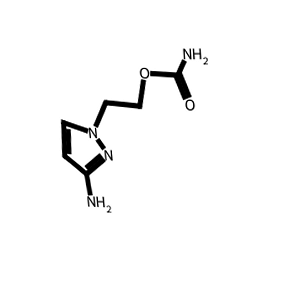 NC(=O)OCCn1ccc(N)n1